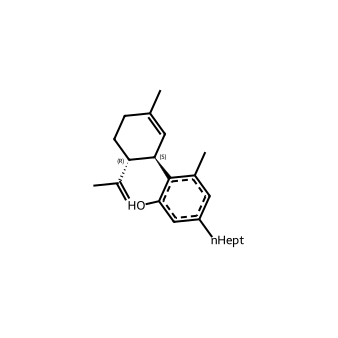 C=C(C)[C@@H]1CCC(C)=C[C@H]1c1c(C)cc(CCCCCCC)cc1O